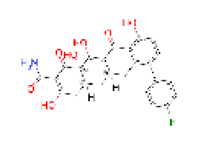 NC(=O)C1=C(O)C[C@@H]2C[C@@H]3Cc4c(-c5ccc(F)cc5)ccc(O)c4C(=O)C3=C(O)[C@]2(O)C1=O